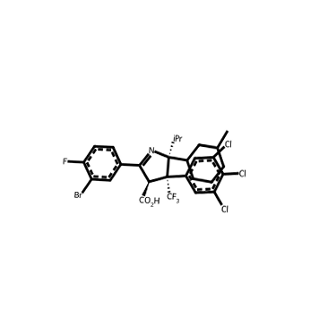 CC1CCCC([C@]2(C(C)C)N=C(c3ccc(F)c(Br)c3)[C@H](C(=O)O)[C@@]2(c2cc(Cl)c(Cl)c(Cl)c2)C(F)(F)F)C1